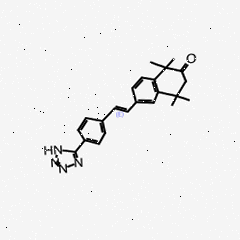 CC1(C)CC(=O)C(C)(C)c2ccc(/C=C/c3ccc(-c4nnn[nH]4)cc3)cc21